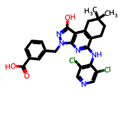 CC1(C)CCc2c(Nc3c(Cl)cncc3Cl)nc3c(c(O)nn3Cc3cccc(C(=O)O)c3)c2C1